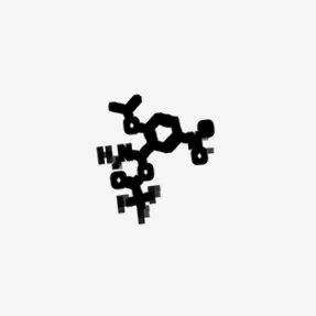 CC(C)Oc1ccc([N+](=O)[O-])cc1C(N)OC(=O)C(F)(F)F